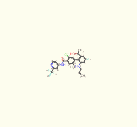 C=CCNc1cc(F)cc(C(C)O)c1-c1cc(Cl)c(C(=O)Nc2ccnc(C(F)(F)F)c2)cc1C